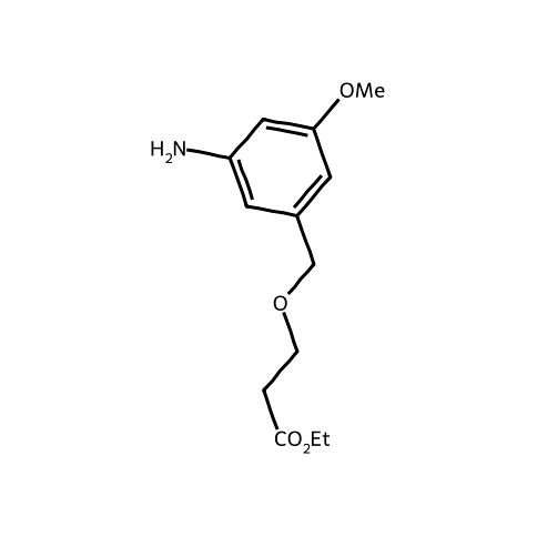 CCOC(=O)CCOCc1cc(N)cc(OC)c1